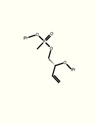 C=C[C@H](COP(C)(=O)OC(C)C)OC(C)C